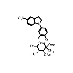 CC[C@H]1O[C@H](Oc2ccc(N3CCc4cc([N+](=O)[O-])ccc43)cc2Cl)[C@@](C)(OC(C)=O)[C@@H](OC(C)=O)[C@@H]1C